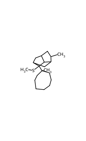 CSC1(C2(C)CCCCCCC2)C2CC3CC(C)C(C2)C31